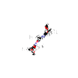 CC1(C)c2cc(/C=C/c3ccc4c(c3)C(C)(C)c3cc(N(c5ccc(C#N)cc5)c5ccc6ccccc6c5)ccc3-4)ccc2-c2ccc(/C=C/c3ccc4c(c3)C(C)(C)c3cc(N(c5ccc(C#N)cc5)c5ccc6ccccc6c5)ccc3-4)cc21